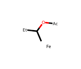 CCC(C)OC(C)=O.[Fe]